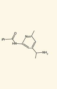 Cc1cc(C(C)N)cc(NC(=O)C(C)C)n1